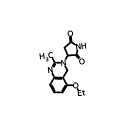 CCOc1cccc2c1CN(C1CC(=O)NC1=O)C(C)=N2